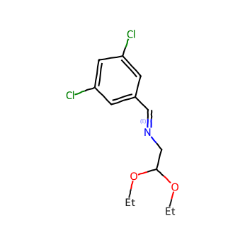 CCOC(C/N=C/c1cc(Cl)cc(Cl)c1)OCC